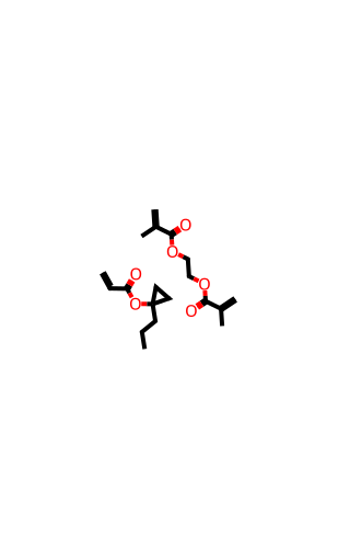 C=C(C)C(=O)OCCOC(=O)C(=C)C.C=CC(=O)OC1(CCC)CC1